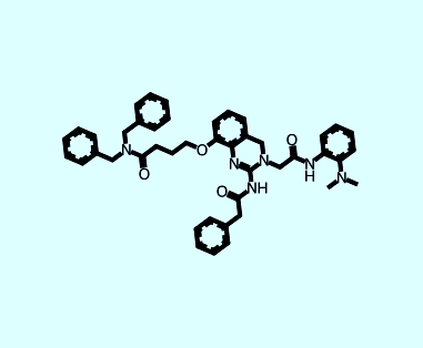 CN(C)c1ccccc1NC(=O)CN1Cc2cccc(OCCCC(=O)N(Cc3ccccc3)Cc3ccccc3)c2N=C1NC(=O)Cc1ccccc1